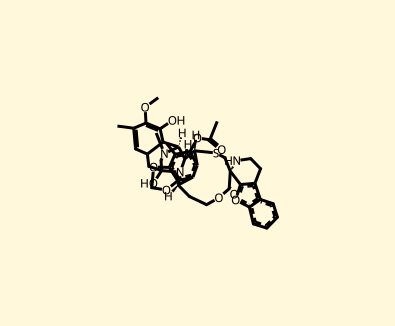 COC1=C(O)C2C(C=C1C)CC1(O)CN(C)[C@@H]2[C@@H]2[C@@H]3SC[C@]4(NCCc5c4oc4ccccc54)C(=O)OCC[C@@H](c4c5c(c(C)c(OC(C)=O)c43)OCO5)N21